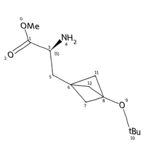 COC(=O)[C@@H](N)CC12CC(OC(C)(C)C)(C1)C2